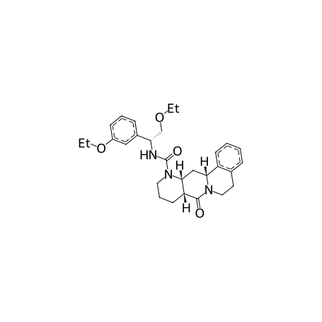 CCOC[C@H](NC(=O)N1CCC[C@H]2C(=O)N3CCc4ccccc4[C@H]3C[C@H]21)c1cccc(OCC)c1